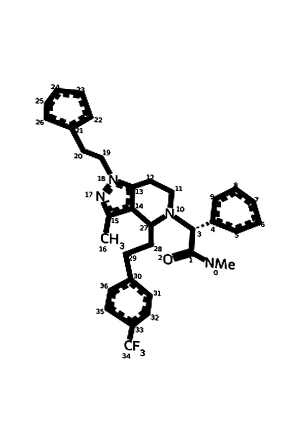 CNC(=O)[C@@H](c1ccccc1)N1CCc2c(c(C)nn2CCc2ccccc2)C1CCc1ccc(C(F)(F)F)cc1